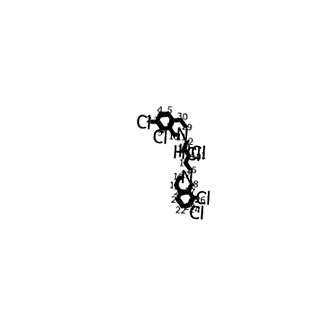 Cl.Cl.Clc1ccc2c(c1Cl)CN(CCCCCN1CCc3ccc(Cl)c(Cl)c3C1)CC2